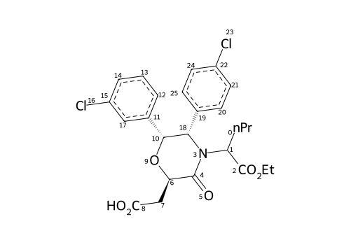 CCCC(C(=O)OCC)N1C(=O)[C@@H](CC(=O)O)O[C@H](c2cccc(Cl)c2)[C@@H]1c1ccc(Cl)cc1